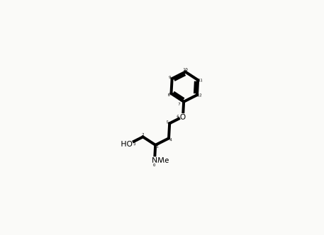 CNC(CO)CCOc1ccccc1